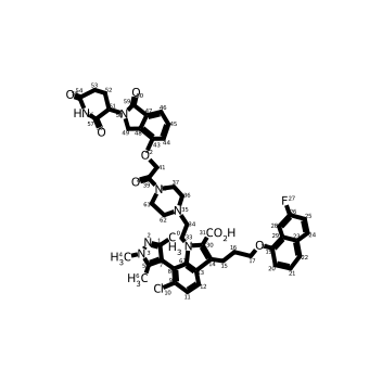 Cc1nn(C)c(C)c1-c1c(Cl)ccc2c(CCCOc3cccc4ccc(F)cc34)c(C(=O)O)n(CCN3CCN(C(=O)COc4cccc5c4CN(C4CCC(=O)NC4=O)C5=O)CC3)c12